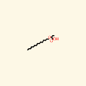 CCCCCCCCCCCCCCCOC(CC)C(=O)O